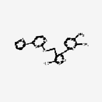 Cc1nc(-c2onc(C)c2CNc2nccc(-c3cccs3)n2)ccc1N